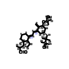 C=C1/C(=C/C=C2\CCC[C@@]3(C)C2CC[C@@H]3[C@H](C)C=O)C[C@@H](CC(C)(C)[Si](C)(C)O)C[C@@H]1O[Si](C)(C)C(C)(C)C